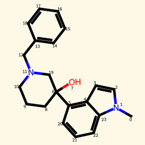 Cn1ccc2c(C3(O)CCCN(Cc4ccccc4)C3)cccc21